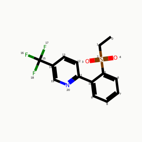 CCS(=O)(=O)c1ccccc1-c1ccc(C(F)(F)F)cn1